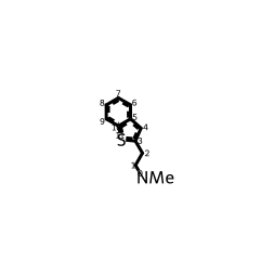 CNCCc1cc2ccccc2s1